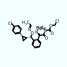 CC=NOC(c1ccccc1C(=NOC)C(=O)N(C)C(=O)OCCl)[C@@H]1C[C@H]1c1ccc(Cl)cc1